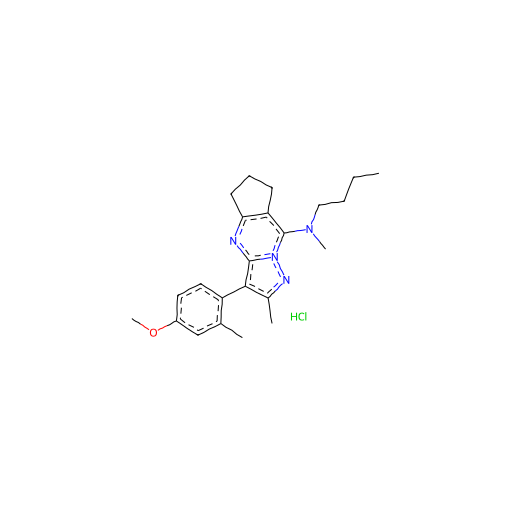 CCCCN(C)c1c2c(nc3c(-c4ccc(OC)cc4C)c(C)nn13)CCC2.Cl